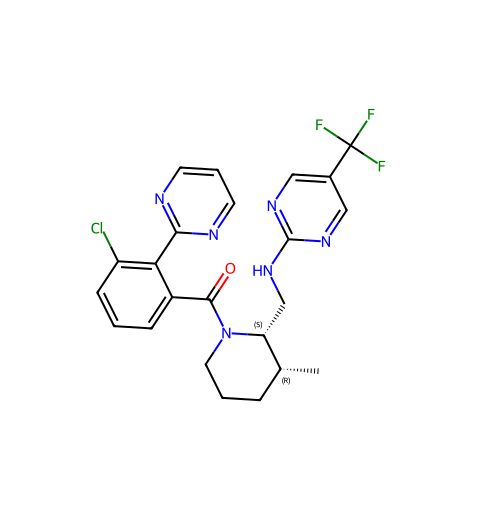 C[C@@H]1CCCN(C(=O)c2cccc(Cl)c2-c2ncccn2)[C@@H]1CNc1ncc(C(F)(F)F)cn1